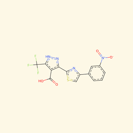 O=C(O)c1c(-c2nc(-c3cccc([N+](=O)[O-])c3)cs2)n[nH]c1C(F)(F)F